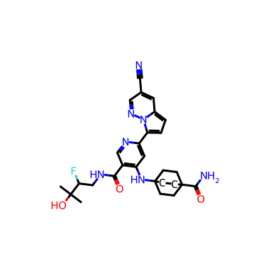 CC(C)(O)C(F)CNC(=O)c1cnc(-c2ccc3cc(C#N)cnn23)cc1NC12CCC(C(N)=O)(CC1)CC2